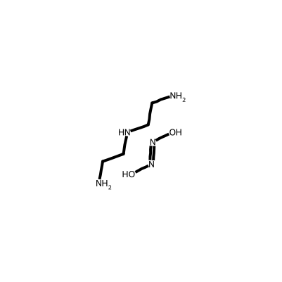 NCCNCCN.ON=NO